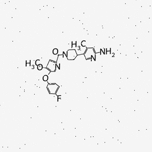 COc1cc(C(=O)N2CCC(c3cnc(N)cc3C)CC2)ncc1Oc1ccc(F)cc1